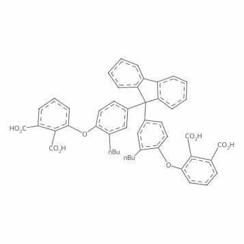 CCCCc1cc(C2(c3ccc(Oc4cccc(C(=O)O)c4C(=O)O)c(CCCC)c3)c3ccccc3-c3ccccc32)ccc1Oc1cccc(C(=O)O)c1C(=O)O